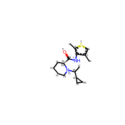 Cc1csc(C)c1NC(=O)[C@@H]1CCCCN1C(C)C1CC1